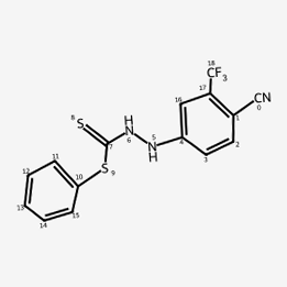 N#Cc1ccc(NNC(=S)Sc2ccccc2)cc1C(F)(F)F